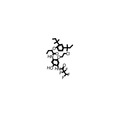 CCC(Oc1ccc(C(C)(C)CC)cc1C(C)(C)CC)C(=O)Nc1cc(O)c(NC(=O)C(F)(F)C(F)F)cc1OCCCl